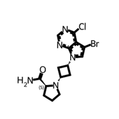 NC(=O)[C@@H]1CCCN1[C@H]1C[C@@H](n2cc(Br)c3c(Cl)ncnc32)C1